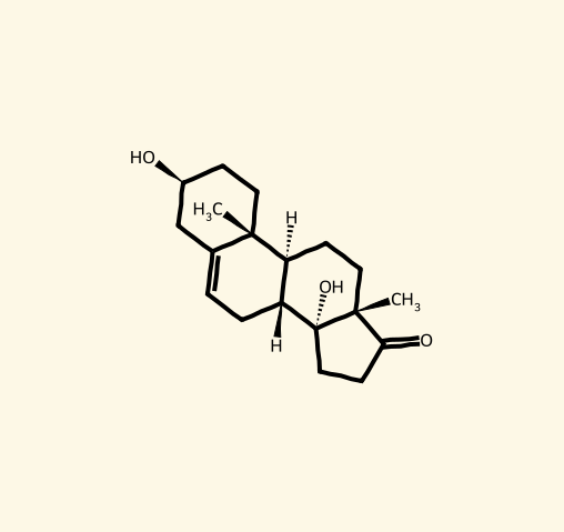 C[C@]12CC[C@H](O)CC1=CC[C@@H]1[C@@H]2CC[C@]2(C)C(=O)CC[C@@]12O